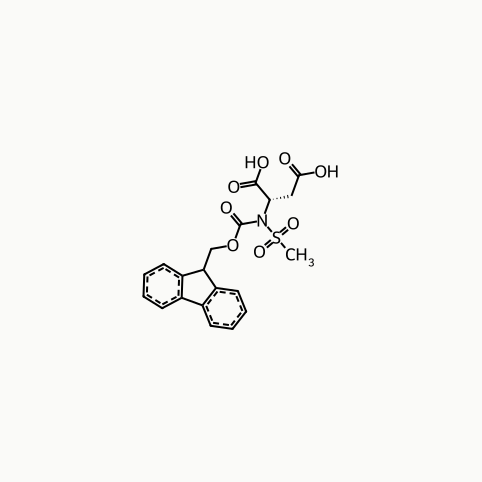 CS(=O)(=O)N(C(=O)OCC1c2ccccc2-c2ccccc21)[C@@H](CC(=O)O)C(=O)O